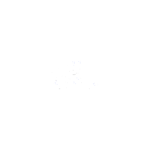 C1=C2CCC=C2CC(c2cc[nH]n2)(c2cn(C3CCNCC3)nc2-c2ccncc2)C1